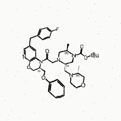 C[C@@H]1COCCN1C[C@H]1CN(C(=O)OC(C)(C)C)[C@H](C)CN1CC(=O)N1c2cc(Cc3ccc(F)cc3)cnc2OC[C@@H]1COc1ccccc1